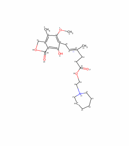 COc1c(C)c2c(c(O)c1C/C=C(\C)CCC(=O)OCCN1CCCCCC1)C(=O)OC2